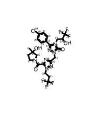 CC1(O)CCN(C(=O)c2nc(Cn3nc(-c4ccc(Cl)cc4)n(CC(O)C(F)(F)F)c3=O)nn2CCC(F)(F)F)C1